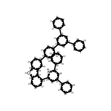 c1ccc(-c2cc(-c3ccccc3)cc(-c3ccc(-c4ccc5oc6cccc(-c7cc(-c8ccccc8)cc(-c8ccccc8)n7)c6c5c4)cc3)c2)cc1